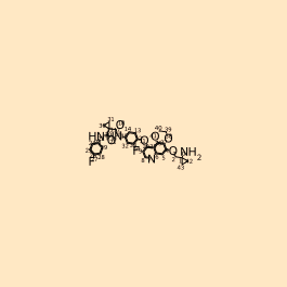 NC1(COc2cc3nccc(Oc4ccc(NC(=O)C5(C(=O)Nc6ccc(F)cc6)CC5)cc4F)c3c3c2OCCO3)CC1